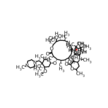 CC[C@H]1OC(=O)[C@H](C)[C@@H](O[C@H]2C[C@@](C)(OC)[C@](O)(CN3CCN(C)CC3)[C@H](C)O2)[C@H](C)[C@@H](OC2OC(C)CC(N(C)C(=O)NC(C)(C)C)C2OC(=O)NC(C)(C)C)[C@](C)(O)C[C@@H](C)CN[C@H](C)[C@@H](O)[C@]1(C)O